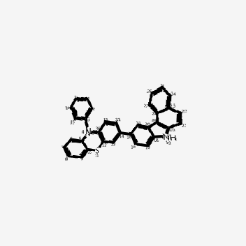 c1ccc(N2c3ccccc3Sc3cc(-c4ccc5[nH]c6ccc7ccccc7c6c5c4)ccc32)cc1